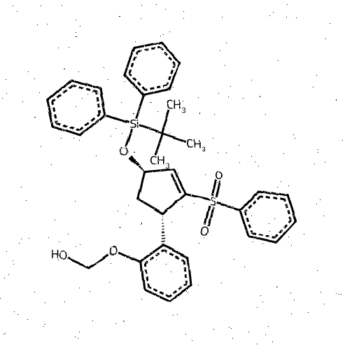 CC(C)(C)[Si](O[C@H]1C=C(S(=O)(=O)c2ccccc2)[C@H](c2ccccc2OCO)C1)(c1ccccc1)c1ccccc1